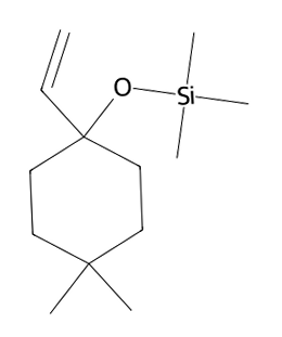 C=CC1(O[Si](C)(C)C)CCC(C)(C)CC1